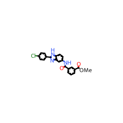 COC(=O)c1cccc(C(=O)Nc2ccc3[nH]c(-c4ccc(Cl)cc4)nc3c2)c1